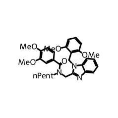 CCCCCN(Cc1nc2ccccc2n1Cc1c(OC)cccc1OC)C(=O)c1ccc(OC)c(OC)c1